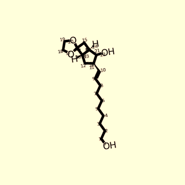 OCCCCCCCCC=C[C@H]1C[C@H]2[C@@H](CC23OCCO3)C1O